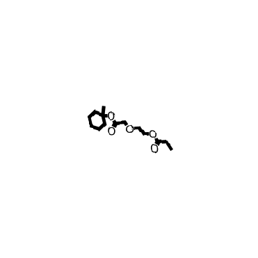 CCC(=O)OCCOCC(=O)OC1(C)CCCCC1